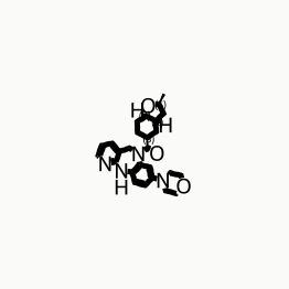 C[C@H]1C[C@H]2C[C@@H](C(=O)N3Cc4cccnc4Nc4ccc(N5CCOCC5)cc43)CC[C@H]2O1